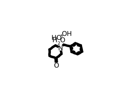 O.O=C1CCCN(Cc2ccccc2)C1.OO